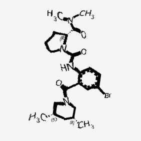 C[C@@H]1C[C@H](C)CN(C(=O)c2cc(Br)ccc2NC(=O)N2CCC[C@@H]2C(=O)N(C)C)C1